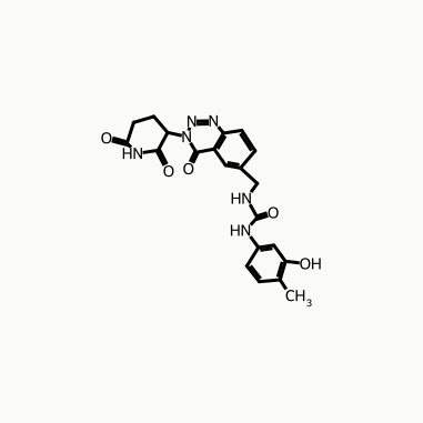 Cc1ccc(NC(=O)NCc2ccc3nnn(C4CCC(=O)NC4=O)c(=O)c3c2)cc1O